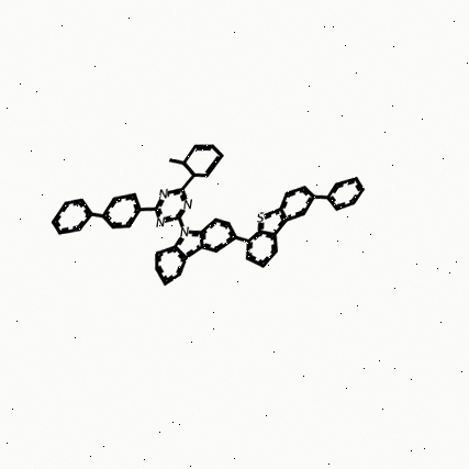 CC1C=CC=CC1c1nc(-c2ccc(-c3ccccc3)cc2)nc(-n2c3ccccc3c3cc(-c4cccc5c4sc4ccc(-c6ccccc6)cc45)ccc32)n1